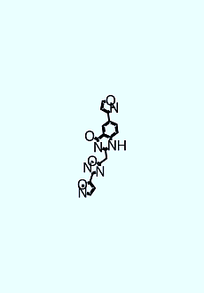 O=c1nc(Cc2nc(-c3ccno3)no2)[nH]c2ccc(-c3ccon3)cc12